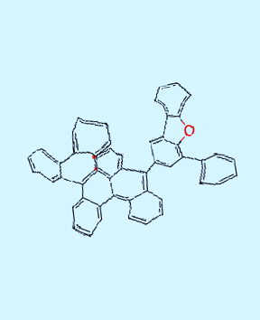 c1ccc(-c2cc(-c3c4ccccc4c(-c4ccccc4-c4cc5ccccc5c5ccccc45)c4ccccc34)cc3c2oc2ccccc23)cc1